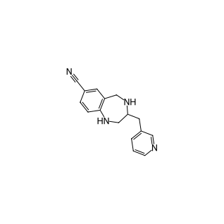 N#Cc1ccc2c(c1)CNC(Cc1cccnc1)CN2